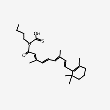 CCCCN(C(=O)C=C(C)C=CC=C(C)C=CC1=C(C)CCCC1(C)C)C(O)=S